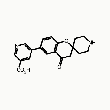 O=C(O)c1cncc(-c2ccc3c(c2)C(=O)CC2(CCNCC2)O3)c1